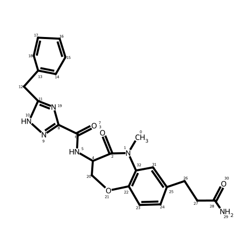 CN1C(=O)C(NC(=O)c2n[nH]c(Cc3ccccc3)n2)COc2ccc(CCC(N)=O)cc21